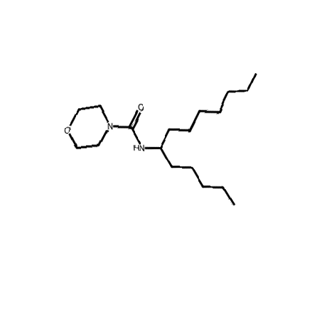 CCCCCCCC(CCCCC)NC(=O)N1CCOCC1